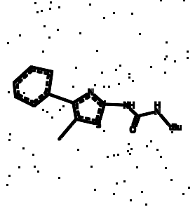 Cc1sc(NC(=O)NC(C)(C)C)nc1-c1ccccc1